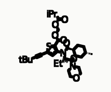 CC[C@@H](C(=O)N1CCOCC1)N(c1cc(C#CC(C)(C)C)sc1C(=O)OCOC(=O)C(C)C)C(=O)[C@H]1CC[C@H](C)CC1